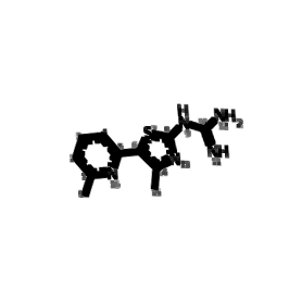 Cc1cccc(-c2sc(NC(=N)N)nc2C)n1